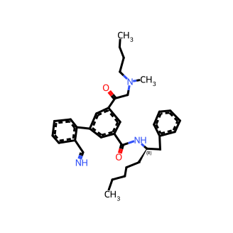 CCCCC[C@H](Cc1ccccc1)NC(=O)c1cc(C(=O)CN(C)CCCC)cc(-c2ccccc2C=N)c1